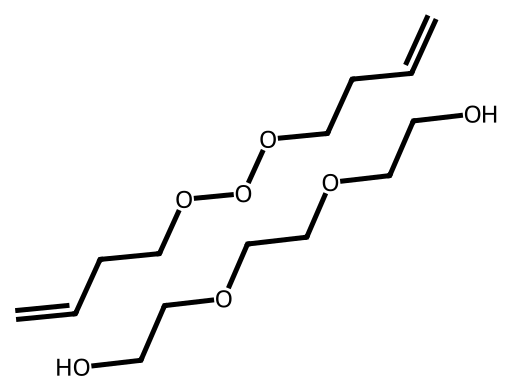 C=CCCOOOCCC=C.OCCOCCOCCO